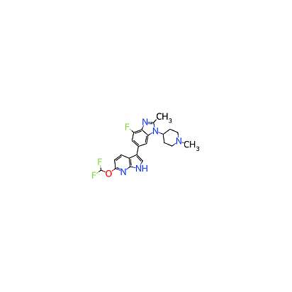 Cc1nc2c(F)cc(-c3c[nH]c4nc(OC(F)F)ccc34)cc2n1C1CCN(C)CC1